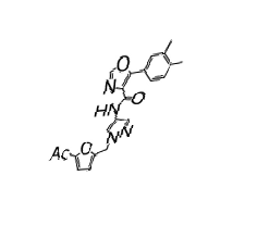 CC(=O)c1ccc(Cn2cc(NC(=O)c3ncoc3-c3ccc(C)c(C)c3)cn2)o1